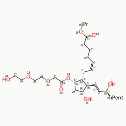 CCCCC[C@H](O)/C=C/[C@@H]1[C@@H](C/C=C\CCCC(=O)OC(C)C)[C@@H](OC(=O)COCCOCCO)C[C@H]1O